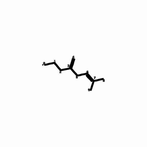 [CH2]CCC(=C)CC=C(C)C